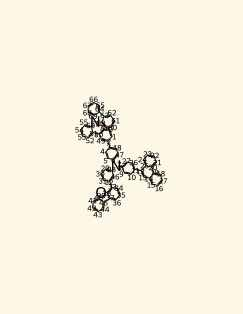 c1cc(-c2ccc(N(c3ccc(-c4cc5ccccc5c5ccccc45)cc3)c3cccc(-c4cccc5c4oc4ccccc45)c3)cc2)cc(-c2ccccc2-n2c3ccccc3c3ccccc32)c1